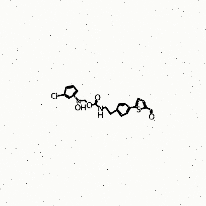 O=Cc1ccc(-c2ccc(CCNC(=O)OC[C@H](O)c3cccc(Cl)c3)cc2)s1